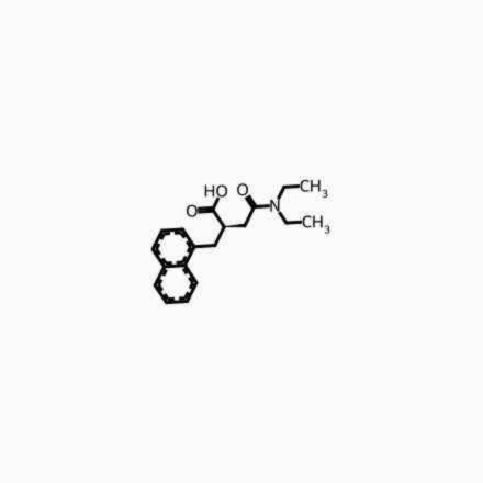 CCN(CC)C(=O)C[C@@H](Cc1cccc2ccccc12)C(=O)O